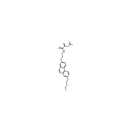 C=C(CN(C)C)C(=O)OCCCc1ccc2c(ccc3cc(CCCCC)ccc32)c1